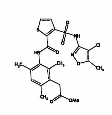 COC(=O)Cc1c(C)cc(C)c(NC(=O)c2sccc2S(=O)(=O)Nc2noc(C)c2Cl)c1C